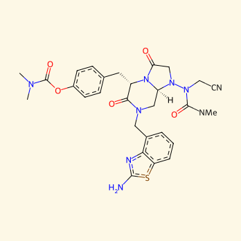 CNC(=O)N(CC#N)N1CC(=O)N2[C@@H](Cc3ccc(OC(=O)N(C)C)cc3)C(=O)N(Cc3cccc4sc(N)nc34)C[C@@H]21